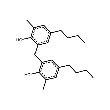 CCCCc1cc(C)c(O)c(Sc2cc(CCCC)cc(C)c2O)c1